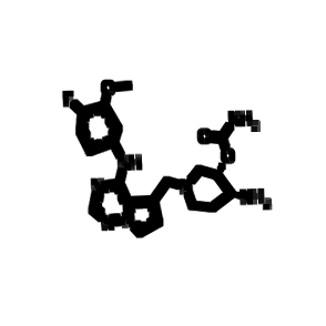 COc1cc(Nc2ncnn3ccc(CN4CC[C@@H](N)[C@@H](OC(N)=O)C4)c23)ccc1F